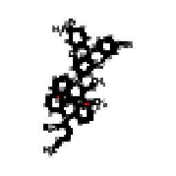 C=C/C=C\C(=C)N1c2ccccc2C2(C(C=C)=C(C=C)N(c3cc4c5c(c3)Oc3cc(C(C)(C)C)ccc3B5C3=C(CC(C)(CC)C=C3)O4)c3ccccc32)c2ccccc21